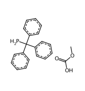 COC(=O)O.PC(c1ccccc1)(c1ccccc1)c1ccccc1